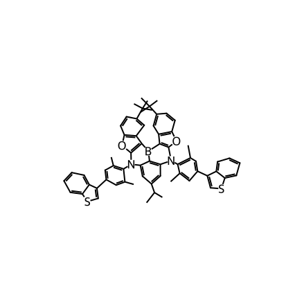 Cc1cc(-c2csc3ccccc23)cc(C)c1N1c2cc(C(C)C)cc3c2B(c2c1oc1ccc(C(C)(C)C)cc21)c1c(oc2ccc(C(C)(C)C)cc12)N3c1c(C)cc(-c2csc3ccccc23)cc1C